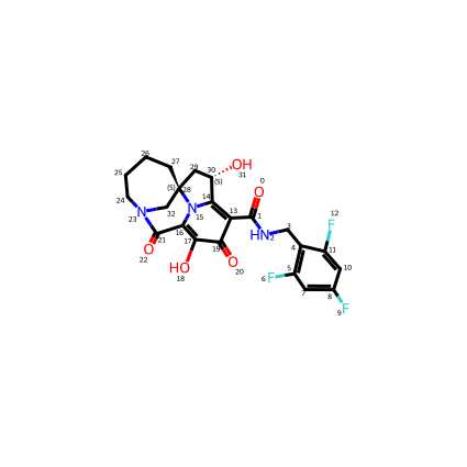 O=C(NCc1c(F)cc(F)cc1F)c1c2n3c(c(O)c1=O)C(=O)N1CCCC[C@]3(C[C@@H]2O)C1